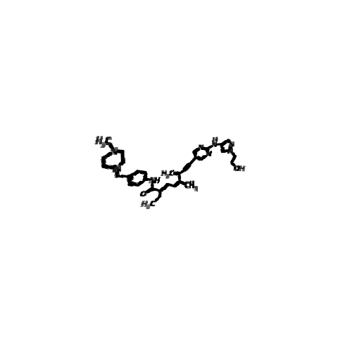 C=C(C#Cc1cnc(Nc2cnn(CCO)c2)nc1)/C(C)=C\C=C(/CC)C(=O)Nc1ccc(CN2CCN(C)CC2)cc1